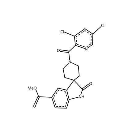 COC(=O)c1ccc2c(c1)C1(CCN(C(=O)c3ncc(Cl)cc3Cl)CC1)C(=O)N2